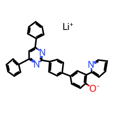 [Li+].[O-]c1ccc(-c2ccc(-c3nc(-c4ccccc4)cc(-c4ccccc4)n3)cc2)cc1-c1ccccn1